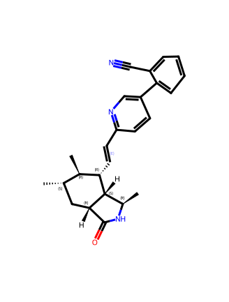 C[C@H]1[C@H](/C=C/c2ccc(-c3ccccc3C#N)cn2)[C@@H]2[C@@H](C)NC(=O)[C@@H]2C[C@@H]1C